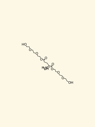 CO.N[C@@H](CCC(=O)OCCOCCOCCO)C(=O)OCCOCCOCCO